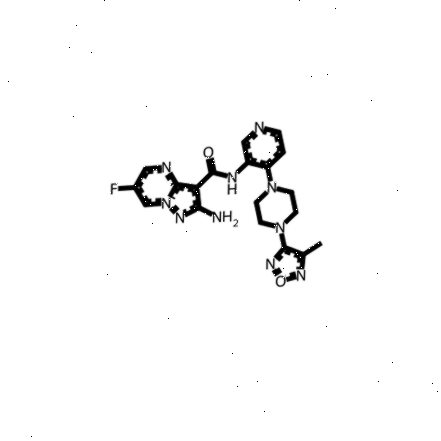 Cc1nonc1N1CCN(c2ccncc2NC(=O)c2c(N)nn3cc(F)cnc23)CC1